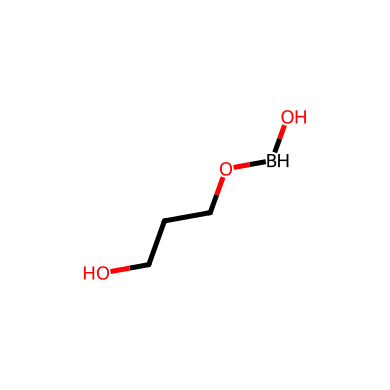 OBOCCCO